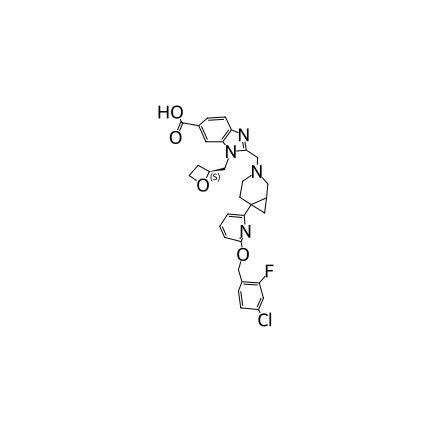 O=C(O)c1ccc2nc(CN3CCC4(c5cccc(OCc6ccc(Cl)cc6F)n5)CC4C3)n(C[C@@H]3CCO3)c2c1